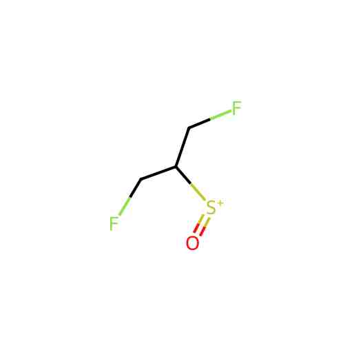 O=[S+]C(CF)CF